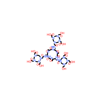 O=C(O)CN1CCCN(CC(=O)NC[C@@H]2NC(=O)c3nc(co3)[C@H](CNC(=O)N3CCN(CCO)CCN(CC(=O)O)CCN(CC(=O)O)CC3)NC(=O)c3coc(n3)[C@H](CNC(=O)CN3CCN(CC(=O)O)CCN(CC(=O)O)CCN(CC(=O)O)CC3)NC(=O)c3coc2n3)CN(CC(=O)O)CCN(CC(=O)O)CC1